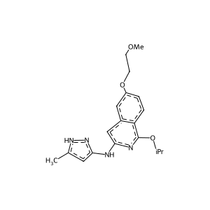 COCCOc1ccc2c(OC(C)C)nc(Nc3cc(C)[nH]n3)cc2c1